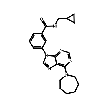 O=C(NCC1CC1)c1cccc(-n2cnc3c(N4CCCCCC4)ncnc32)c1